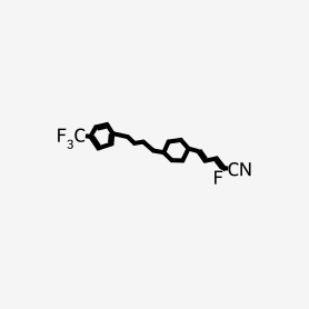 N#CC(F)=CC=CC1CCC(CCCCc2ccc(C(F)(F)F)cc2)CC1